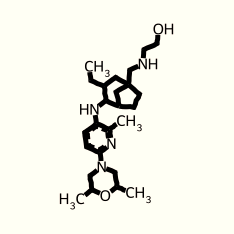 CCC1CC2(CNCCO)CCC(C2)C1Nc1ccc(N2CC(C)OC(C)C2)nc1C